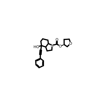 O=C(O[C@H]1CCOC1)N1CCC2C1CCCC2(O)C#Cc1ccccc1